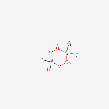 CCC1(CC)OCC(C)(C)CO1